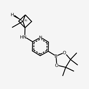 C[C@@H]1C2CC1(Nc1ccc(B3OC(C)(C)C(C)(C)O3)cn1)C2